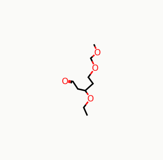 CCOC(CC=O)CCOCOC